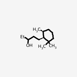 CCC(O)CC[C@H]1[C@@H](C)CCCC1(C)C